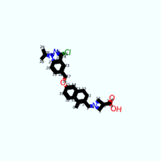 CC1=C(CN2CC(C(=O)O)C2)CCc2cc(OCc3ccc4c(c3)c(Cl)nn4C(C)C)ccc21